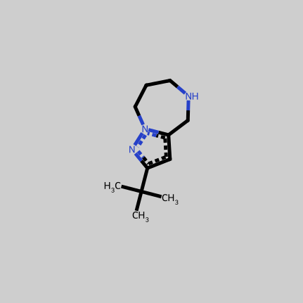 CC(C)(C)c1cc2n(n1)CCCNC2